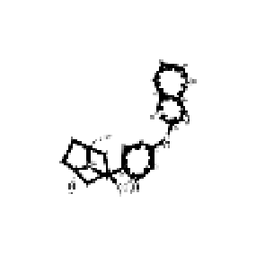 O=C(O)C1C[C@H]2CC[C@@H](C1)N2Cc1ccc(Oc2nc3ncccc3s2)cc1